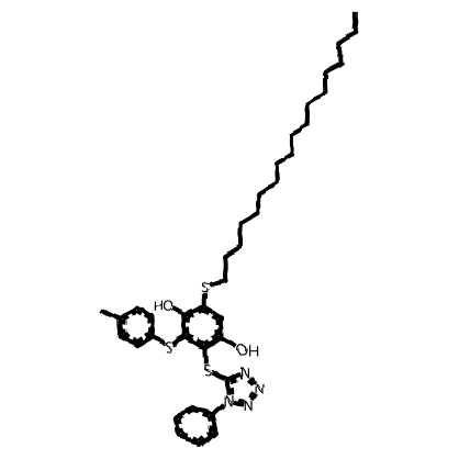 CCCCCCCCCCCCCCCCCCSc1cc(O)c(Sc2nnnn2-c2ccccc2)c(Sc2ccc(C)cc2)c1O